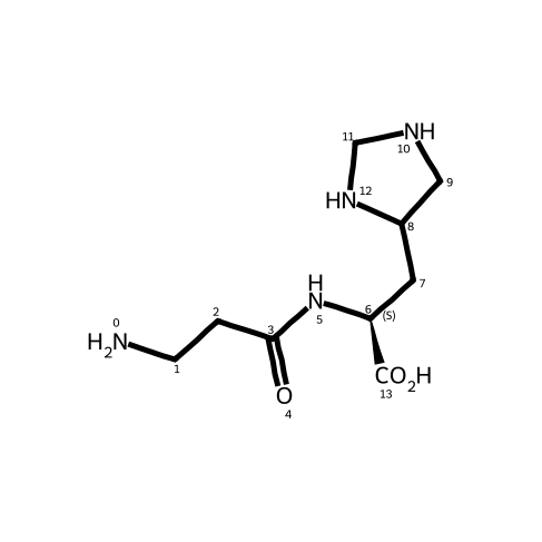 NCCC(=O)N[C@@H](CC1CNCN1)C(=O)O